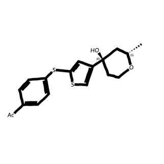 CC(=O)c1ccc(Sc2cc([C@@]3(O)CCO[C@@H](C)C3)cs2)cc1